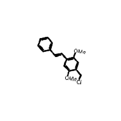 COc1cc(CCl)c(OC)cc1C=Cc1ccccc1